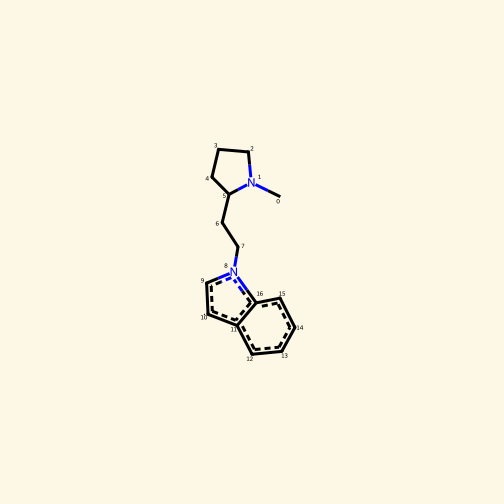 CN1CCCC1CCn1c[c]c2ccccc21